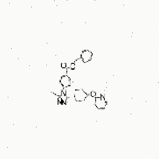 Cc1nnc([C@H]2CC[C@H](Oc3ccccn3)CC2)n1-c1ccc(C(=O)OCc2ccccc2)cc1